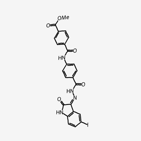 COC(=O)c1ccc(C(=O)Nc2ccc(C(=O)N/N=C3\C(=O)Nc4ccc(I)cc43)cc2)cc1